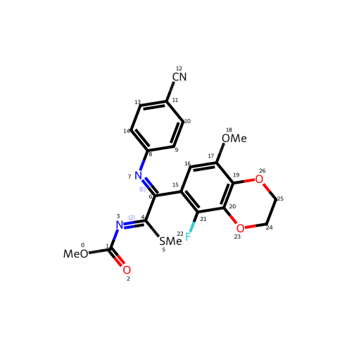 COC(=O)/N=C(SC)/C(=N/c1ccc(C#N)cc1)c1cc(OC)c2c(c1F)OCCO2